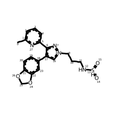 Cc1cccc(-c2nn(CCCN[SH](=O)=O)cc2-c2ccc3c(c2)OCO3)n1